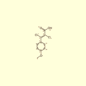 COc1ccc(C(Cl)=C(Cl)C(=O)O)cc1